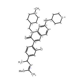 CO/C(C)=N\C(C)c1ccc(-c2cc3cnc(NC4CCOCC4)nc3n(CC3CCN(C)CC3)c2=O)c(Cl)c1